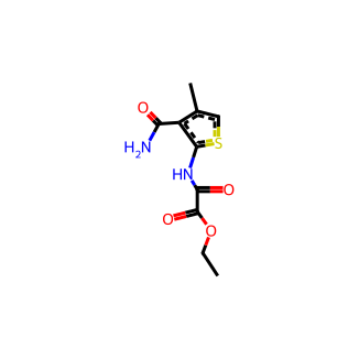 CCOC(=O)C(=O)Nc1scc(C)c1C(N)=O